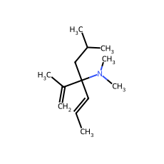 C=C(C)C(/C=C/C)(CC(C)C)N(C)C